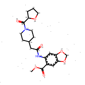 COC(=O)c1cc2c(cc1NC(=O)CC1CCN(C(=O)C3CCCO3)CC1)OCO2